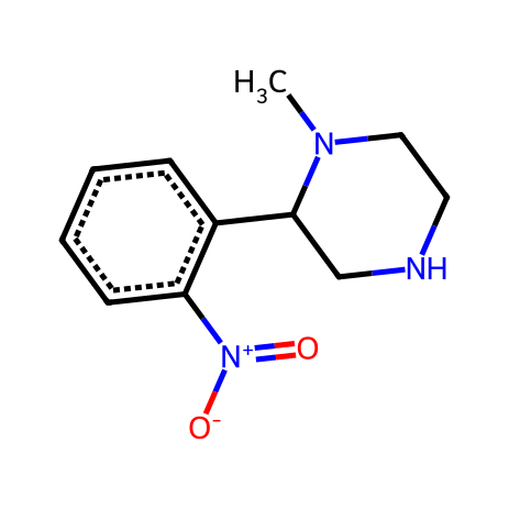 CN1CCNCC1c1ccccc1[N+](=O)[O-]